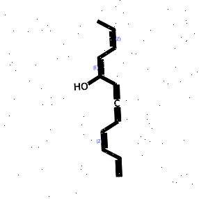 C=C/C=C\C=C=C/C(O)=C\C=C/C